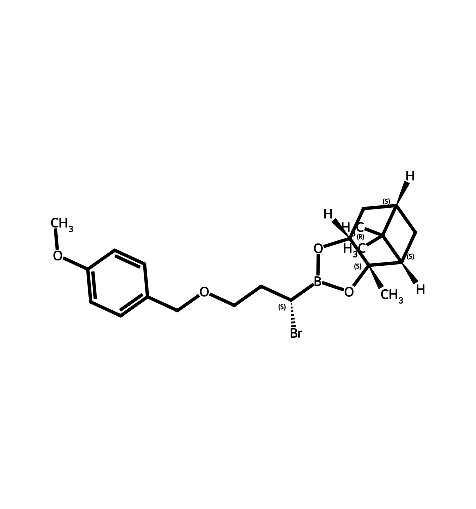 COc1ccc(COCC[C@@H](Br)B2O[C@@H]3C[C@@H]4C[C@@H](C4(C)C)[C@]3(C)O2)cc1